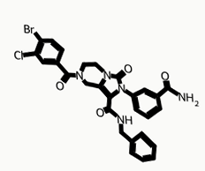 NC(=O)c1cccc(-n2c(C(=O)NCc3ccccc3)c3n(c2=O)CCN(C(=O)c2ccc(Br)c(Cl)c2)C3)c1